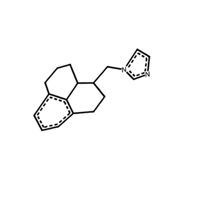 c1cc2c3c(c1)CCC(Cn1ccnc1)C3CCC2